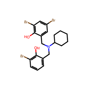 Oc1c(Br)cccc1CN(Cc1cc(Br)cc(Br)c1O)C1CCCCC1